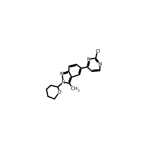 Cc1c2cc(-c3ccnc(Cl)n3)ccc2nn1C1CCCCO1